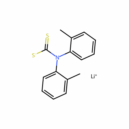 Cc1ccccc1N(C(=S)[S-])c1ccccc1C.[Li+]